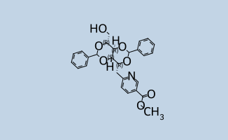 COC(=O)c1ccc(C[C@H]2OC(c3ccccc3)O[C@H]3[C@H]2OC(c2ccccc2)O[C@@H]3CO)nc1